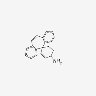 NC1C=CC2(CC1)c1ccccc1C=Cc1ccccc12